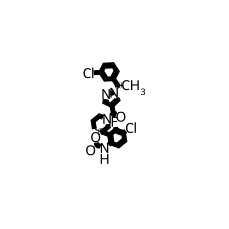 C[C@@H](c1cccc(Cl)c1)n1cc(C(=O)N2CCC[C@@]3(C2)OC(=O)Nc2ccc(Cl)c(F)c23)cn1